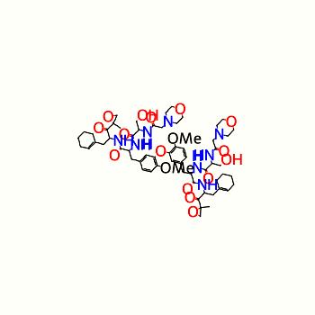 COc1ccc(CC(NC(=O)C(CO)NC(=O)CN2CCOCC2)C(=O)NC(CC2=CCCCC2)C(=O)C2(C)CO2)cc1Oc1cc(CC(NC(=O)C(CO)NC(=O)CN2CCOCC2)C(=O)NC(CC2=CCCCC2)C(=O)C2(C)CO2)ccc1OC